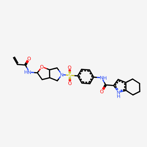 C=CC(=O)NC1CC2CN(S(=O)(=O)c3ccc(NC(=O)c4cc5c([nH]4)CCCC5)cc3)CC2O1